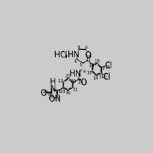 Cl.O=C(NC[C@@H]1CNCCO[C@H]1c1ccc(Cl)c(Cl)c1)c1ccc(-c2noc(=O)[nH]2)cc1